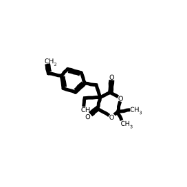 C=Cc1ccc(CC2(CC)C(=O)OC(C)(C)OC2=O)cc1